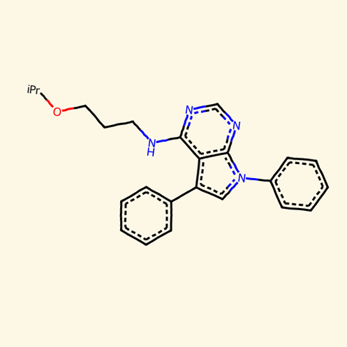 CC(C)OCCCNc1ncnc2c1c(-c1ccccc1)cn2-c1ccccc1